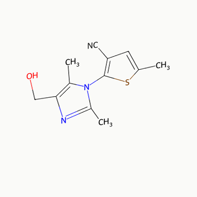 Cc1cc(C#N)c(-n2c(C)nc(CO)c2C)s1